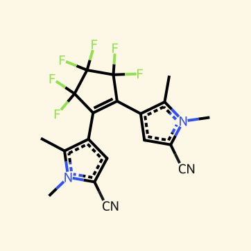 Cc1c(C2=C(c3cc(C#N)n(C)c3C)C(F)(F)C(F)(F)C2(F)F)cc(C#N)n1C